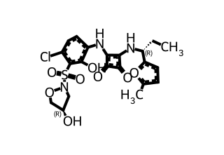 CC[C@@H](Nc1c(Nc2ccc(Cl)c(S(=O)(=O)N3C[C@@H](O)CO3)c2O)c(=O)c1=O)c1ccc(C)o1